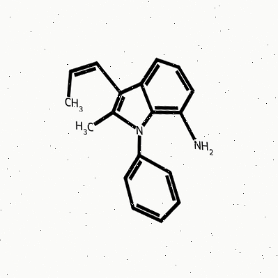 C/C=C\c1c(C)n(-c2ccccc2)c2c(N)cccc12